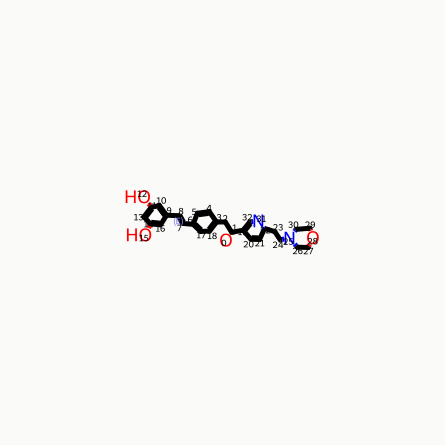 O=C(Cc1ccc(/C=C/c2cc(O)cc(O)c2)cc1)c1ccc(CCN2CCOCC2)nc1